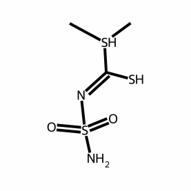 C[SH](C)C(S)=NS(N)(=O)=O